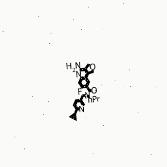 CCCN(Cc1ccc(C2CC2)nc1)C(=O)c1cc2c3c(c(N)nc2cc1F)COC3